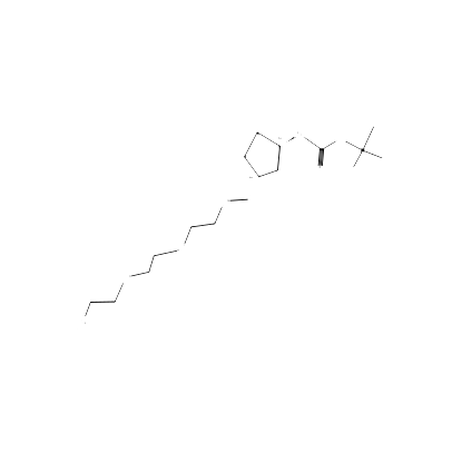 CC(C)(C)OC(=O)N[C@@H]1CC[C@@H](COCCOCCOCCN)C1